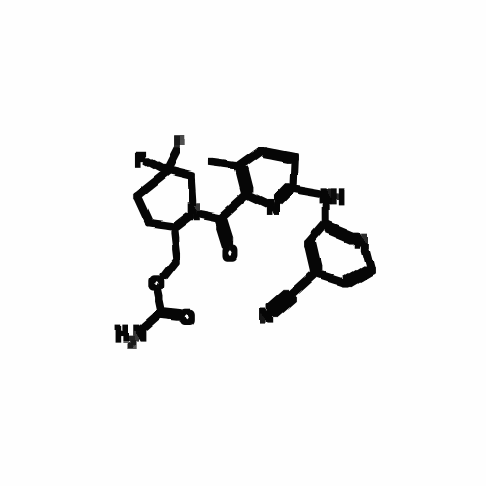 Cc1ccc(Nc2cc(C#N)ccn2)nc1C(=O)N1CC(F)(F)CCC1COC(N)=O